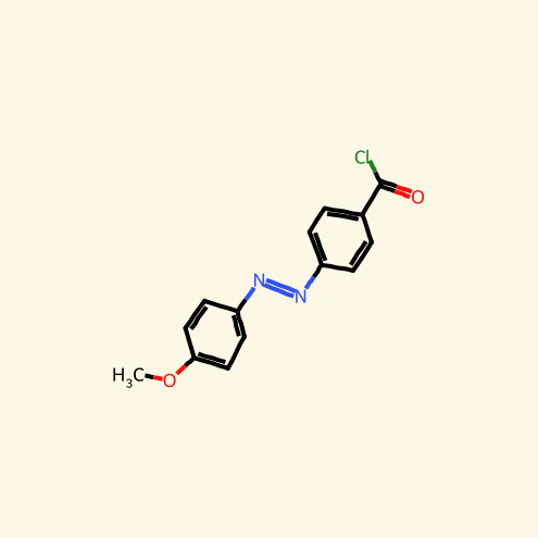 COc1ccc(N=Nc2ccc(C(=O)Cl)cc2)cc1